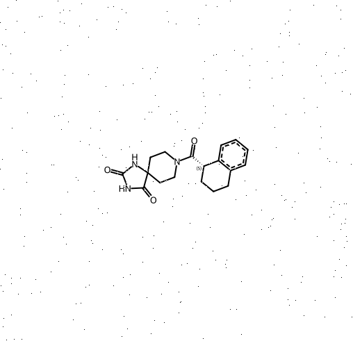 O=C1NC(=O)C2(CCN(C(=O)[C@H]3CCCc4ccccc43)CC2)N1